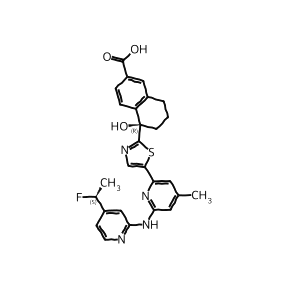 Cc1cc(Nc2cc([C@H](C)F)ccn2)nc(-c2cnc([C@@]3(O)CCCc4cc(C(=O)O)ccc43)s2)c1